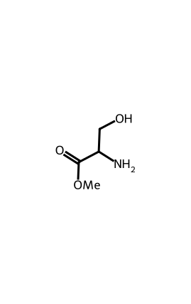 [CH2]OC(=O)C(N)CO